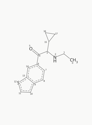 CCNC(C(=O)c1ccc2ccsc2c1)C1CC1